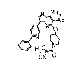 CC(=O)c1c(OC2CCN(C(=O)[C@@H](C)N=O)CC2)nc2c(-c3ccc(C4=CCCC=C4)nc3)cnn2c1N